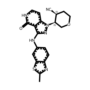 Cc1nc2ccc(Nc3nn([C@@H]4COCC[C@@H]4C#N)c4cc[nH]c(=O)c34)cc2s1